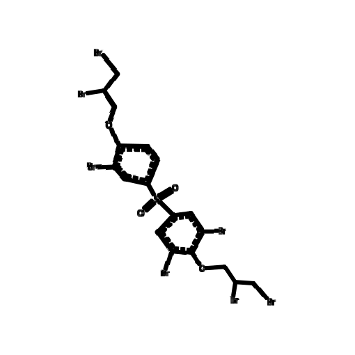 O=S(=O)(c1ccc(OCC(Br)CBr)c(Br)c1)c1cc(Br)c(OCC(Br)CBr)c(Br)c1